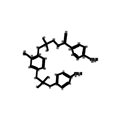 CC(C)(Cc1ccc(C(=O)O)cc1)Cc1ccc(CC(C)(C)COC(=O)c2ccc(C(=O)O)cc2)c(Br)c1